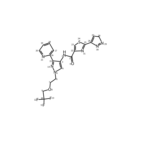 O=C(Nc1cn(CCOCC(F)(F)F)nc1-c1ccccn1)c1csc(C2=CCN=N2)n1